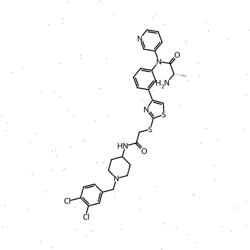 C[C@H](N)C(=O)N(c1cccnc1)c1cccc(-c2csc(SCC(=O)NC3CCN(Cc4ccc(Cl)c(Cl)c4)CC3)n2)c1